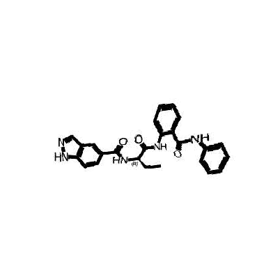 CC[C@@H](NC(=O)c1ccc2[nH]ncc2c1)C(=O)Nc1ccccc1C(=O)Nc1ccccc1